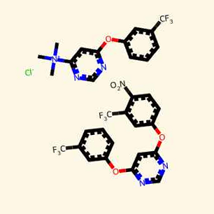 C[N+](C)(C)c1cc(Oc2cccc(C(F)(F)F)c2)ncn1.O=[N+]([O-])c1ccc(Oc2cc(Oc3cccc(C(F)(F)F)c3)ncn2)cc1C(F)(F)F.[Cl-]